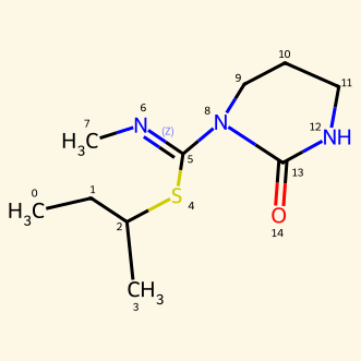 CCC(C)S/C(=N\C)N1CCCNC1=O